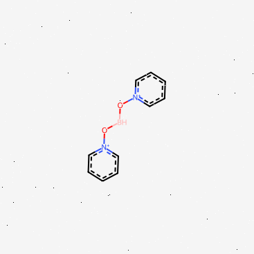 B(O[n+]1ccccc1)O[n+]1ccccc1